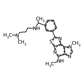 CNc1nc2sc(-c3cccc(C(C)NCCCN(C)C)c3)nc2c2c1ncn2C